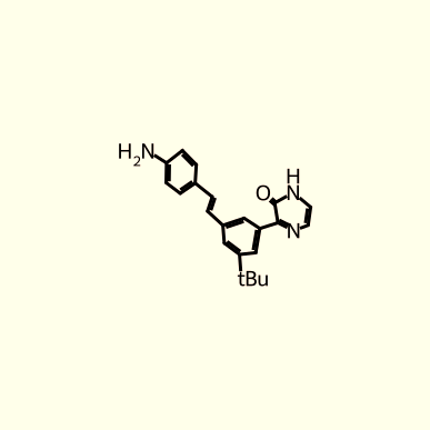 CC(C)(C)c1cc(/C=C/c2ccc(N)cc2)cc(-c2ncc[nH]c2=O)c1